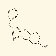 CCN1CCC(C(=O)O)CC1Oc1ccc(Cc2ccccc2)cc1C